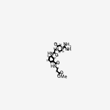 COC(=O)CCNC(=O)c1cccc(NC(=O)CN2CCN(C(=N)N)CC2=O)c1